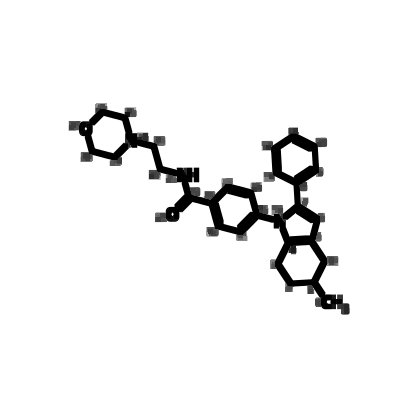 CC1CCc2c(cc(-c3ccccc3)n2-c2ccc(C(=O)NCCN3CCOCC3)cc2)C1